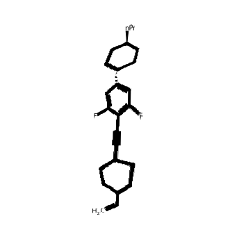 C=CC1CCC(C#Cc2c(F)cc([C@H]3CC[C@H](CCC)CC3)cc2F)CC1